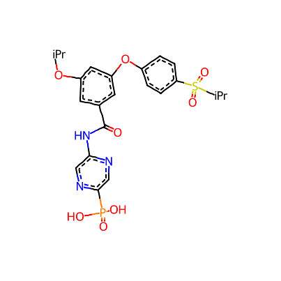 CC(C)Oc1cc(Oc2ccc(S(=O)(=O)C(C)C)cc2)cc(C(=O)Nc2cnc(P(=O)(O)O)cn2)c1